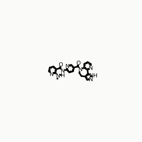 CN(C)c1ncccc1C(=O)Nc1ccc(C(=O)N2CCc3cn[nH]c3-c3ncccc32)cn1